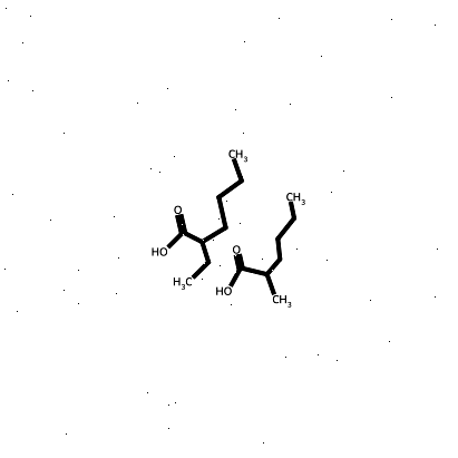 CCCCC(C)C(=O)O.CCCCC(CC)C(=O)O